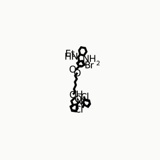 CCNC(c1cc(C(=O)OCCCCCCOC(=O)Cc2ccccc2Nc2c(Cl)cccc2Cl)cc(Br)c1N)C1CCCCC1